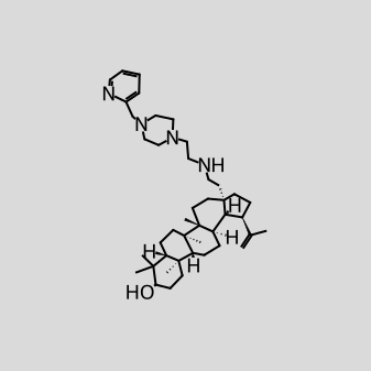 C=C(C)[C@@H]1CC[C@]2(CCNCCN3CCN(Cc4ccccn4)CC3)CC[C@]3(C)[C@H](CC[C@@H]4[C@@]5(C)CC[C@H](O)C(C)(C)[C@@H]5CC[C@]43C)[C@@H]12